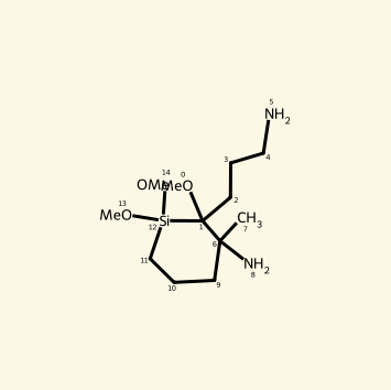 COC1(CCCN)C(C)(N)CCC[Si]1(OC)OC